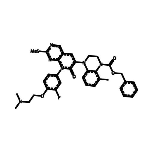 CSc1ncc2cc(N3CCN(C(=O)OCc4ccccc4)c4c(C)cccc43)c(=O)n(-c3ccc(OCCN(C)C)c(F)c3)c2n1